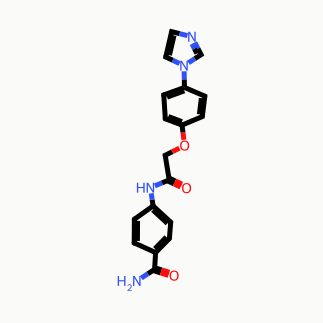 NC(=O)c1ccc(NC(=O)COc2ccc(-n3ccnc3)cc2)cc1